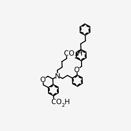 O=C(O)CCCCN(CCc1ccccc1OCc1ccc(CCc2ccccc2)cc1)C1COCc2cc(C(=O)O)ccc21